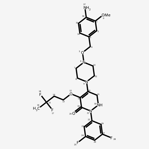 COc1cc(CON2CCN(C3=C(OCCC(C)(F)F)C(=O)N(c4cc(F)cc(F)c4)NC3)CC2)ccc1N